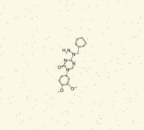 COc1ccc(-n2cnc(N(N)Cc3ccccc3)nc2=O)cc1OC